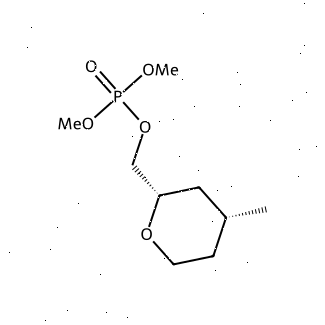 COP(=O)(OC)OC[C@@H]1C[C@H](C)CCO1